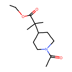 CCOC(=O)C(C)(C)C1CCN(C(C)=O)CC1